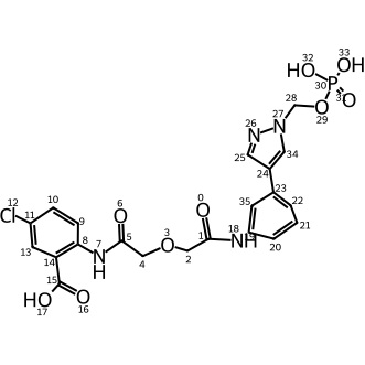 O=C(COCC(=O)Nc1ccc(Cl)cc1C(=O)O)Nc1cccc(-c2cnn(COP(=O)(O)O)c2)c1